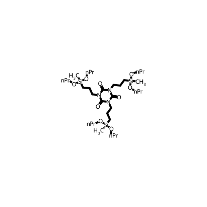 CCCO[Si](C)(CCCn1c(=O)n(CCC[Si](C)(OCCC)OCCC)c(=O)n(CCC[Si](C)(OCCC)OCCC)c1=O)OCCC